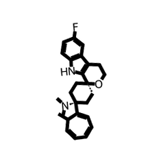 CC1C=CC=CC=C1[C@]1(N(C)C)CC[C@@]2(CC1)OCCc1c3cc(F)ccc3[nH]c12